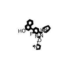 CN1CCC[C@H]1COc1nc(N2CC3CCC(C2)N3)c2ccc(-c3cc(O)cc4ccccc34)c(F)c2n1